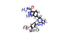 CCOc1ccc(Nc2nc(-c3ccc4c(C(N)=O)n[nH]c4c3)cn3ccnc23)cc1OC